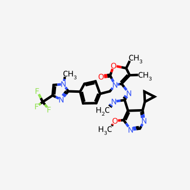 C=N/C(=N\C1=C(C)C(C)OC(=O)N1Cc1ccc(-c2nc(C(F)(F)F)cn2C)cc1)c1c(OC)ncnc1C1CC1